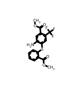 COC(=O)c1ccccc1Sc1cc(C(F)(F)F)c(C(=O)OC)cc1N